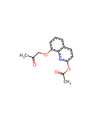 CC(=O)COc1cccc2ccc(OC(C)=O)nc12